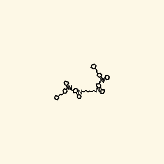 C(=C\c1ccc(N(/N=C/c2ccc3c(c2)c2ccccc2n3CCCCCCCCn2c3ccccc3c3cc(/C=N/N(c4ccccc4)c4ccc(/C=C/c5ccccc5)cc4)ccc32)c2ccccc2)cc1)/c1ccccc1